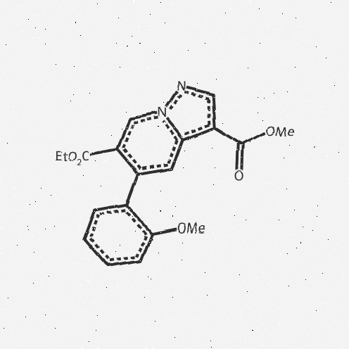 CCOC(=O)c1cn2ncc(C(=O)OC)c2cc1-c1ccccc1OC